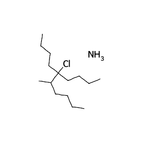 CCCCC(C)C(Cl)(CCCC)CCCC.N